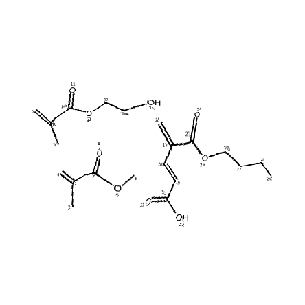 C=C(C)C(=O)OC.C=C(C)C(=O)OCCO.C=C(C=CC(=O)O)C(=O)OCCCC